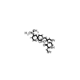 CC(C)C[C@@H]1NCCN([C@](C=O)(CC(C)C)CN2CCC3(CC2)CC(N(C)C)CCO3)C1=O